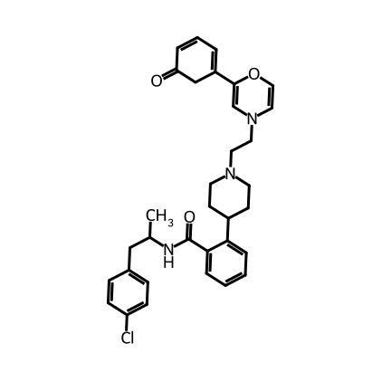 CC(Cc1ccc(Cl)cc1)NC(=O)c1ccccc1C1CCN(CCN2C=COC(C3=CC=CC(=O)C3)=C2)CC1